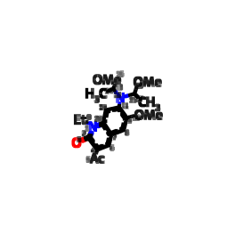 CCn1c(=O)c(C(C)=O)cc2cc(OC)c(N(C(C)OC)C(C)OC)cc21